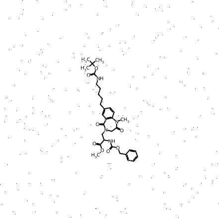 COC(=O)C(CN1CC(=O)N(C)c2ccc(CCCCCNC(=O)OC(C)(C)C)cc2C1=O)NC(=O)OCc1ccccc1